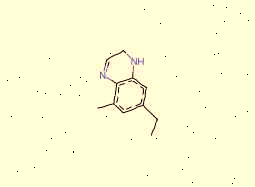 CCc1cc(C)c2c(c1)NCC=N2